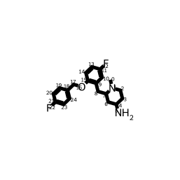 CN1CCC(N)CC1Cc1cc(F)ccc1OCc1ccc(F)cc1